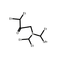 CCCC(CC)N(CC(=O)C(CC)CC)C(CC)CC